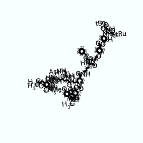 COc1ccc2c3c1O[C@H]1C(OC(=O)N4CCC(C(=O)NCCCC[C@H](NC(=O)OCc5ccccc5)C(=O)NCCOc5ccc(C(=O)Oc6ccc(N=C(NC(=O)OC(C)(C)C)NC(=O)OC(C)(C)C)cc6)cc5)CC4CNC(=O)[C@@H](CCCNC(=N)NS(=O)(=O)c4c(C)c(C)c5c(c4C)CC(C)(C)O5)NC(=O)CNC(C)=O)=CC[C@H]4[C@@H]5C(C)C5(C2)C[C@]314